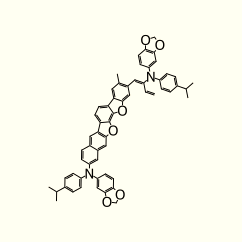 C=C/C(=C\c1cc2oc3c(ccc4c5cc6ccc(N(c7ccc(C(C)C)cc7)c7ccc8c(c7)OCO8)cc6cc5oc43)c2cc1C)N(c1ccc(C(C)C)cc1)c1ccc2c(c1)OCO2